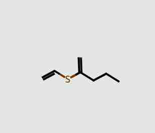 C=CSC(=C)CCC